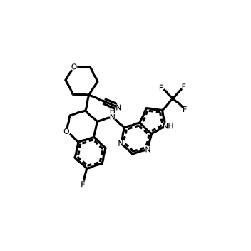 N#CC1(C2COc3cc(F)ccc3C2Nc2ncnc3[nH]c(C(F)(F)F)cc23)CCOCC1